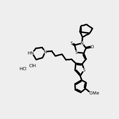 COc1cccc(-c2cc(CCCCCN3CCNCC3)c(/C=C3\SC(=S)N(C4CC5CCC4C5)C3=O)s2)c1.Cl.Cl